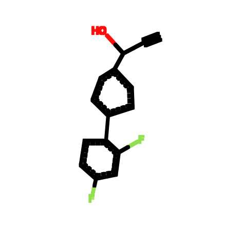 C#CC(O)c1ccc(-c2ccc(F)cc2F)cc1